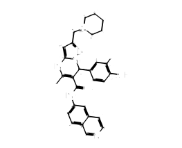 CC1=C(C(=O)Nc2ccc3cnccc3c2)C(c2ccc(C(F)(F)F)c(F)c2)n2nc(CN3CCCCC3)cc2N1